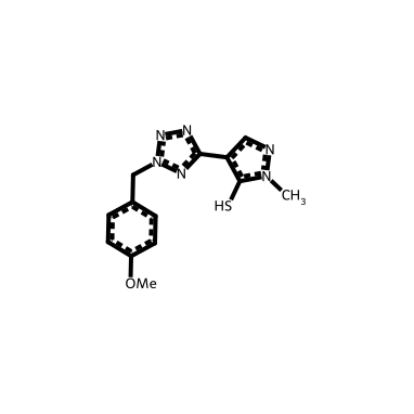 COc1ccc(Cn2nnc(-c3cnn(C)c3S)n2)cc1